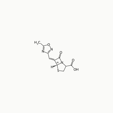 Cc1nc(C=C2C(=O)N3C(C(=O)O)CS[C@H]23)no1